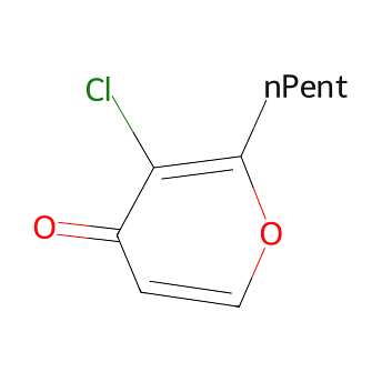 CCCCCc1occc(=O)c1Cl